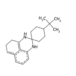 CC(C)(C)C1CCC2(CC1)NC1=c3c(cccc3=CCC1)N2